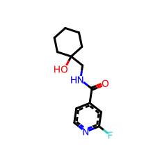 O=C(NCC1(O)CCCCC1)c1ccnc(F)c1